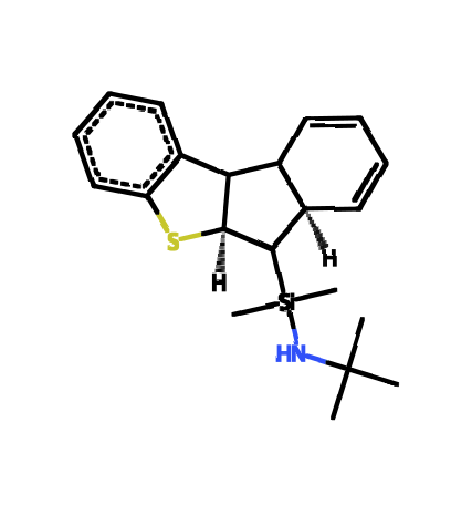 CC(C)(C)N[Si](C)(C)C1[C@@H]2C=CC=CC2C2c3ccccc3S[C@@H]21